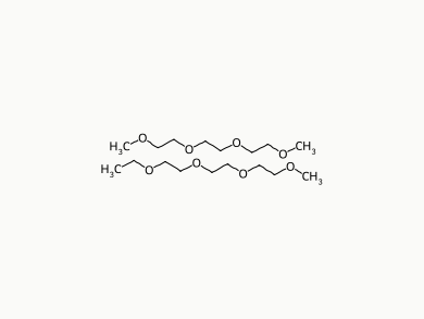 CCOCCOCCOCCOC.COCCOCCOCCOC